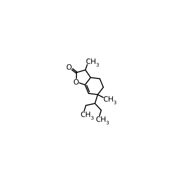 CCC(CC)C1(C)C=C2OC(=O)C(C)C2CC1